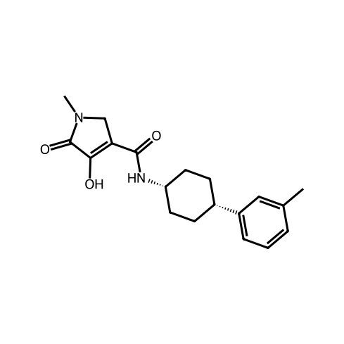 Cc1cccc([C@H]2CC[C@@H](NC(=O)C3=C(O)C(=O)N(C)C3)CC2)c1